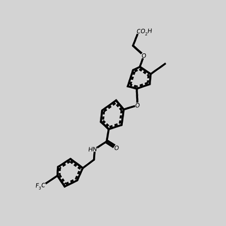 Cc1cc(Oc2cccc(C(=O)NCc3ccc(C(F)(F)F)cc3)c2)ccc1OCC(=O)O